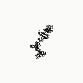 Cc1ccc2c(-c3ccc(-c4ccc(N(c5ccccc5)c5ccc(-n6c7ccccc7c7ccccc76)cc5)cc4)cc3)c3ccccc3c(-c3ccc4c(c3)C(C)(C)c3ccccc3-4)c2c1